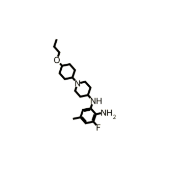 CCCOC1CCC(N2CCC(Nc3cc(C)cc(F)c3N)CC2)CC1